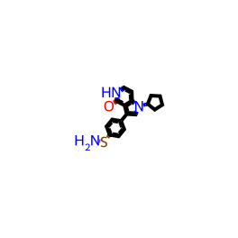 NSc1ccc(-c2cn(C3CCCC3)c3cc[nH]c(=O)c23)cc1